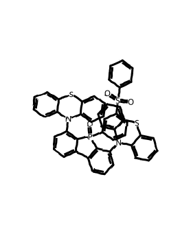 O=P1(c2cccc(S(=O)(=O)c3ccccc3)c2)c2c(cccc2N2c3ccccc3Sc3ccccc32)-c2cccc(N3c4ccccc4Sc4ccccc43)c21